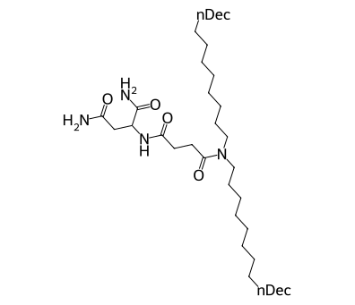 CCCCCCCCCCCCCCCCCCN(CCCCCCCCCCCCCCCCCC)C(=O)CCC(=O)NC(CC(N)=O)C(N)=O